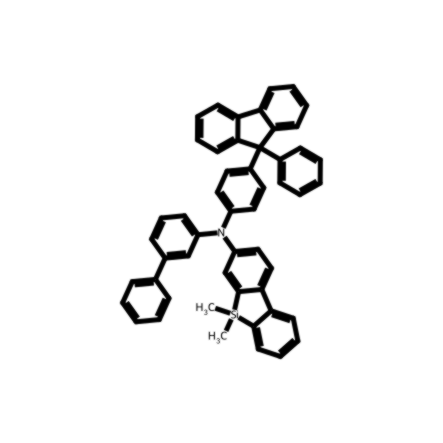 C[Si]1(C)c2ccccc2-c2ccc(N(c3ccc(C4(c5ccccc5)c5ccccc5-c5ccccc54)cc3)c3cccc(-c4ccccc4)c3)cc21